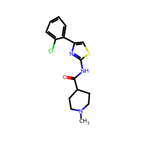 CN1CCC(C(=O)Nc2nc(-c3ccccc3Cl)cs2)CC1